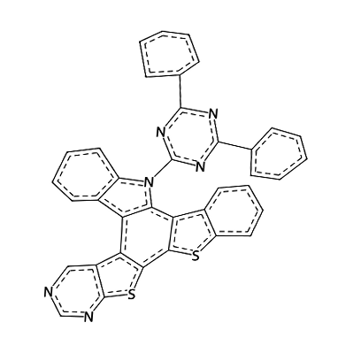 c1ccc(-c2nc(-c3ccccc3)nc(-n3c4ccccc4c4c5c6cncnc6sc5c5sc6ccccc6c5c43)n2)cc1